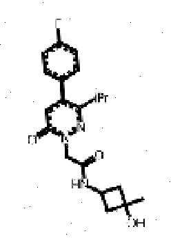 CC(C)c1nn(CC(=O)NC2CC(C)(O)C2)c(=O)cc1-c1ccc(F)cc1